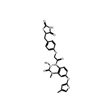 Cc1csc(Oc2ccc(NC(=O)COc3ccc(CC4SC(=O)NC4=O)cc3)c(N(C)C(=O)OC(C)(C)C)c2)c1